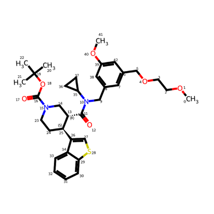 COCCOCc1cc(CN(C(=O)[C@H]2CN(C(=O)OC(C)(C)C)CC[C@@H]2c2csc3ccccc23)C2CC2)cc(OC)c1